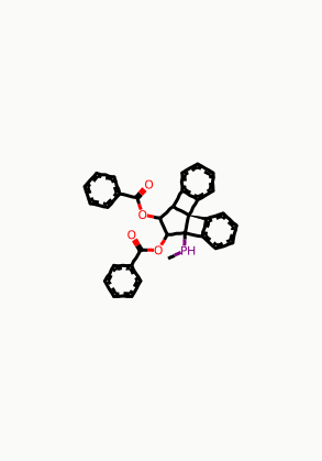 CPC12c3ccccc3[C@@]13c1ccccc1C3C(OC(=O)c1ccccc1)C2OC(=O)c1ccccc1